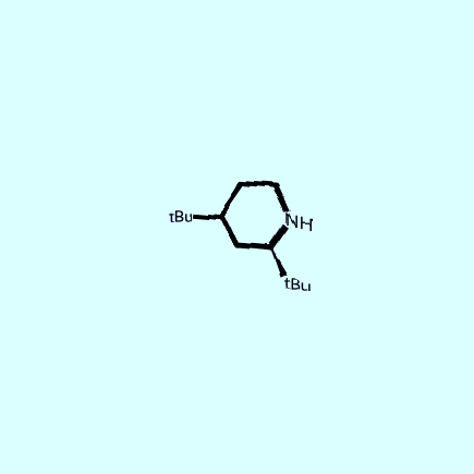 CC(C)(C)C1CCN[C@@H](C(C)(C)C)C1